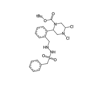 CC(C)(C)OC(=O)N1CC(Cl)N(Cl)CC1c1ccccc1CNNS(=O)(=O)Cc1ccccc1